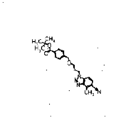 Cc1c(C#N)ccc2c1nnn2CCCOCc1ccc(C(=O)OC(C)(C)C)cc1